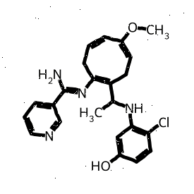 COC1=C/C/C(C(C)Nc2cc(O)ccc2Cl)=C(/N=C(\N)c2cccnc2)C/C=C\1